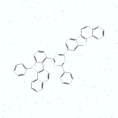 c1ccc(-c2nc(-c3ccc4c(c3)oc3c5ccccc5ccc43)nc(-c3cccc4c3c3ccc5ccccc5c3n4-c3ccccc3)n2)cc1